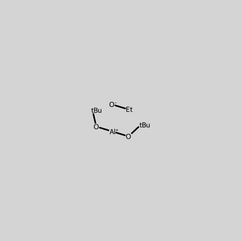 CC(C)(C)[O][Al+][O]C(C)(C)C.CC[O-]